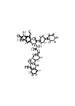 CCc1cc(CC(NC(=O)ON2CCC(N3Cc4ccccc4NC3=O)CC2)C(=O)N2CCC(N3CCCCC3)CC2)cc2[nH]c(=O)[nH]c12